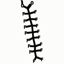 O=C(OF)C(F)(F)C(F)(F)C(F)(F)C(F)(F)C(F)(F)C(F)(F)C(F)(F)C(F)F